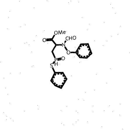 COC(=O)C(C[PH](=O)Sc1ccccc1)N(C=O)Oc1ccccc1